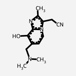 Cc1nc2c(O)c(CN(C)C)ccn2c1CC#N